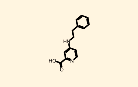 O=C(O)c1cc(NCCc2ccccc2)ccn1